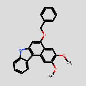 COc1cc2c(OCc3ccccc3)cc3[nH]c4ccccc4c3c2cc1OC